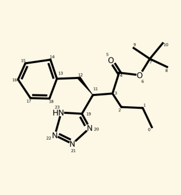 CCCC(C(=O)OC(C)(C)C)[C@H](Cc1ccccc1)c1nnn[nH]1